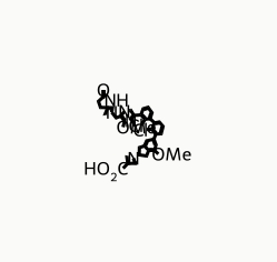 COc1cc(-c2cccc(-c3cccc(-c4cnc(CN5CC6(CCC(=O)N6)C5)c(OC)n4)c3Cl)c2Cl)cc2c1C[C@@H](N1CC(C(=O)O)C1)C2